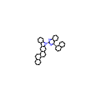 c1ccc2c(-c3nc(-n4c5ccccc5c5cc6c(ccc7c8ccccc8ccc67)cc54)nc4ccccc34)cccc2c1